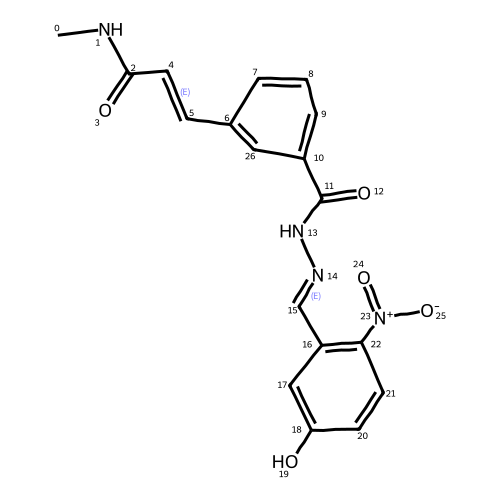 CNC(=O)/C=C/c1cccc(C(=O)N/N=C/c2cc(O)ccc2[N+](=O)[O-])c1